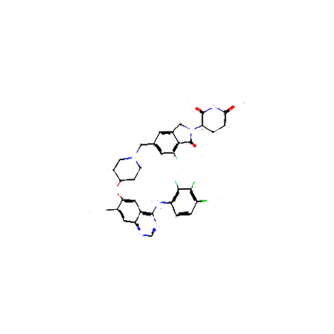 COc1cc2ncnc(Nc3ccc(Cl)c(Cl)c3F)c2cc1OC1CCN(Cc2cc(F)c3c(c2)CN(C2CCC(=O)NC2=O)C3=O)CC1